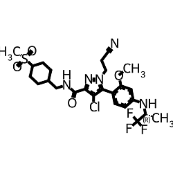 COc1cc(N[C@H](C)C(F)(F)F)ccc1-c1c(Cl)c(C(=O)NCC2CCC(S(C)(=O)=O)CC2)nn1CCC#N